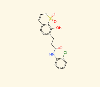 O=C(CCc1ccc2c(c1O)S(=O)(=O)CC=C2)Nc1ccccc1Cl